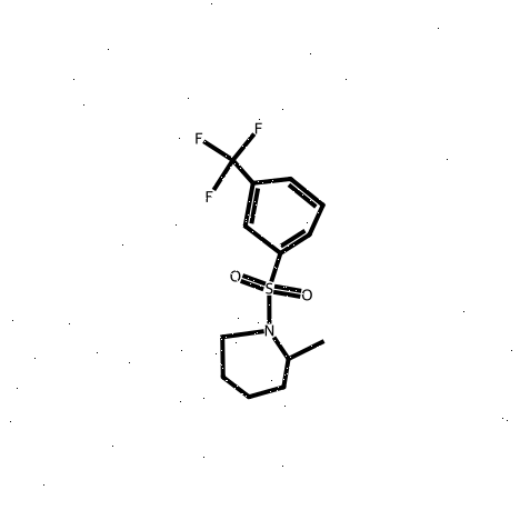 CC1CCCCN1S(=O)(=O)c1cccc(C(F)(F)F)c1